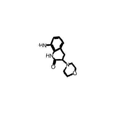 [NH]c1cccc2c1NC(=O)C(N1CCOCC1)C2